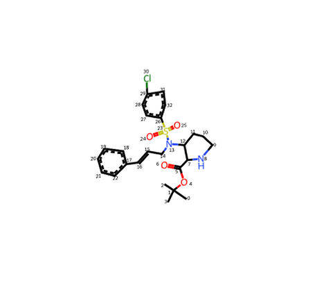 CC(C)(C)OC(=O)C1NCCCC1N(CC=Cc1ccccc1)S(=O)(=O)c1ccc(Cl)cc1